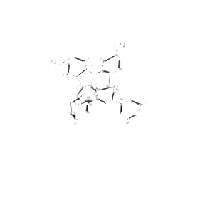 N#Cc1ccc(-c2nc(-c3ccccc3)cc(-c3ccccc3)n2)c(-n2c3ccc(C#N)cc3c3cc(C#N)ccc32)c1